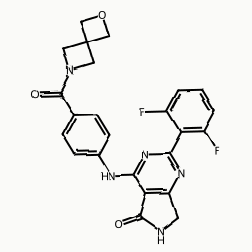 O=C1NCc2nc(-c3c(F)cccc3F)nc(Nc3ccc(C(=O)N4CC5(COC5)C4)cc3)c21